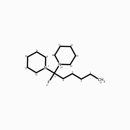 CCCCCC(F)(N1CCCCC1)N1CCCCC1